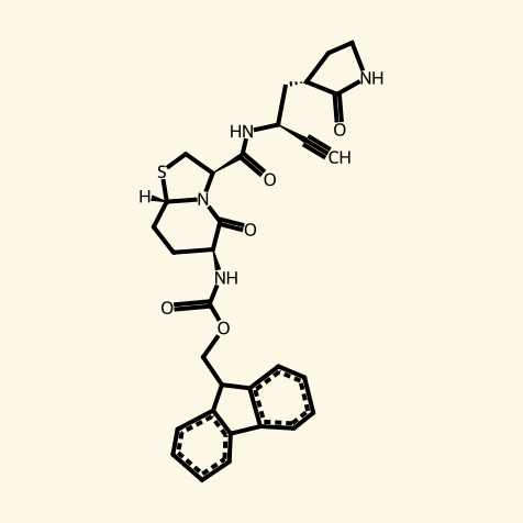 C#C[C@H](C[C@@H]1CCNC1=O)NC(=O)[C@@H]1CS[C@H]2CC[C@H](NC(=O)OCC3c4ccccc4-c4ccccc43)C(=O)N21